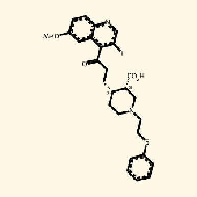 COc1ccc2ncc(F)c(C(=O)CC[C@H]3CCN(CCSc4ccccc4)C[C@H]3C(=O)O)c2c1